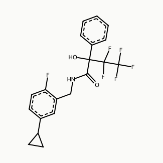 O=C(NCc1cc(C2CC2)ccc1F)C(O)(c1ccccc1)C(F)(F)C(F)(F)F